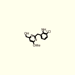 COc1cc(CO)nc(Cc2cccc(Cl)c2N)n1